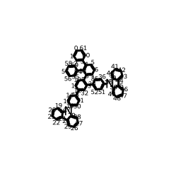 c1ccc(-c2cccc(-c3ccc(-c4ccc(-n5c6ccccc6c6ccccc65)cc4)cc3-c3ccc(-n4c5ccccc5c5ccccc54)cc3)c2-c2ccccc2)cc1